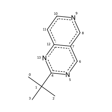 CC(C)(C)c1ncc2cnccc2n1